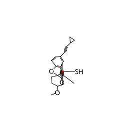 COC1CCC2(CC1)Oc1ccc(C#CC3CC3)cc1C21N=C(S)N(C)C1=O